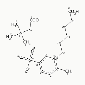 C[N+](C)(C)CC(=O)[O-].Cc1ccc(S(=O)(=O)[O-])c[n+]1CCCCCC(=O)O